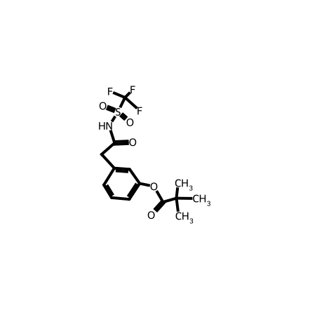 CC(C)(C)C(=O)Oc1cccc(CC(=O)NS(=O)(=O)C(F)(F)F)c1